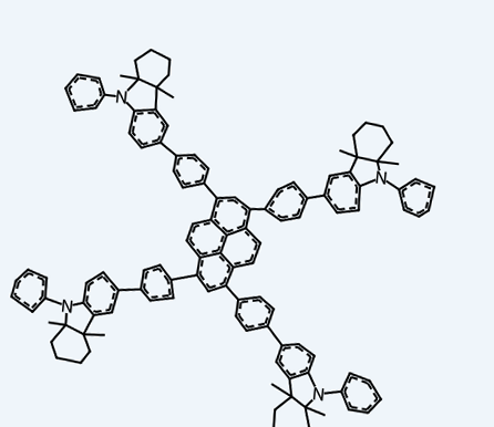 CC12CCCCC1(C)N(c1ccccc1)c1ccc(-c3ccc(-c4cc(-c5ccc(-c6ccc7c(c6)C6(C)CCCCC6(C)N7c6ccccc6)cc5)c5ccc6c(-c7ccc(-c8ccc9c(c8)C8(C)CCCCC8(C)N9c8ccccc8)cc7)cc(-c7ccc(-c8ccc9c(c8)C8(C)CCCCC8(C)N9c8ccccc8)cc7)c7ccc4c5c76)cc3)cc12